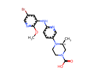 COc1ncc(Br)cc1Nc1ccc(N2CCN(C(=O)O)C[C@@H]2C)cn1